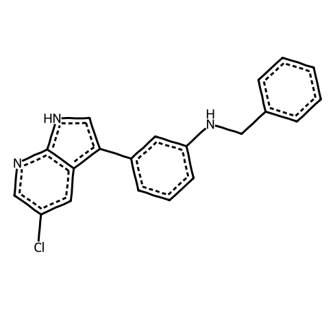 Clc1cnc2[nH]cc(-c3cccc(NCc4ccccc4)c3)c2c1